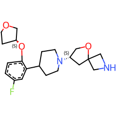 Fc1ccc(O[C@H]2CCOC2)c(C2CCN([C@@H]3COC4(CNC4)C3)CC2)c1